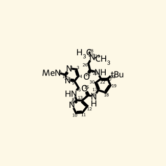 CNc1nccc(CNc2ncccc2C(=O)Nc2ccc(C(C)(C)C)c(NC(=O)CN(C)C)c2)n1